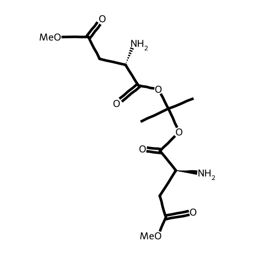 COC(=O)C[C@H](N)C(=O)OC(C)(C)OC(=O)[C@@H](N)CC(=O)OC